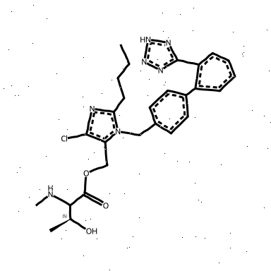 CCCCc1nc(Cl)c(COC(=O)C(NC)[C@H](C)O)n1Cc1ccc(-c2ccccc2-c2nn[nH]n2)cc1